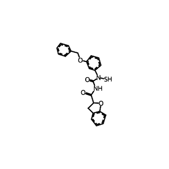 O=C(NC(=O)N(S)c1cccc(OCc2ccccc2)c1)C1Cc2ccccc2O1